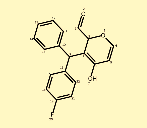 O=CC1OC=CC(O)=C1C(c1ccccc1)c1ccc(F)cc1